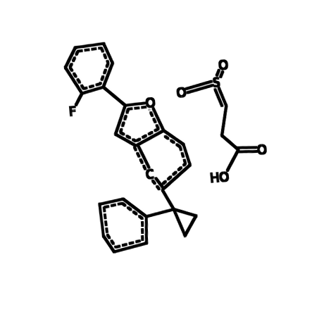 Fc1ccccc1-c1cc2cc(C3(c4ccccc4)CC3)ccc2o1.O=C(O)CC=S(=O)=O